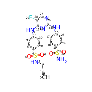 C#CCNS(=O)(=O)c1ccc(Nc2nc(Nc3ccc(S(N)(=O)=O)cc3)ncc2F)cc1